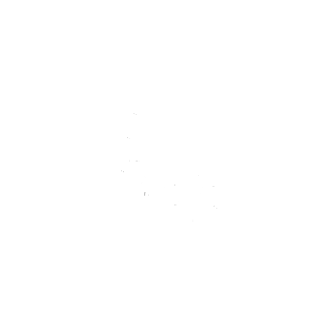 Cc1c(-c2ccc(NC(=O)[C@@H](NC(=O)c3ccc4n3CCNC4)C3CCCCC3)cc2F)c(Cl)cc[n+]1[O-]